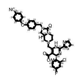 COC(=O)C1=C(CN2CCN3C(=O)N(Cc4ccc(Oc5ccc(C#N)cc5)cc4)C[C@@H]3C2)NC(c2nccs2)=N[C@H]1c1ccc(F)cc1Cl